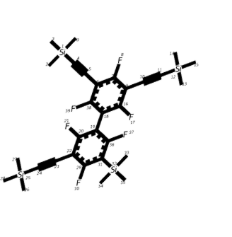 C[Si](C)(C)C#Cc1c(F)c(C#C[Si](C)(C)C)c(F)c(-c2c(F)c(C#C[Si](C)(C)C)c(F)c([Si](C)(C)C)c2F)c1F